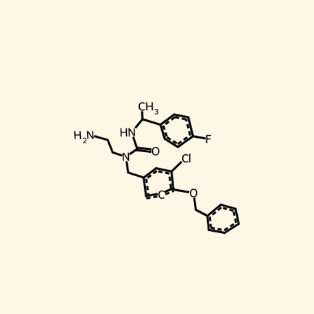 CC(NC(=O)N(CCN)Cc1ccc(OCc2ccccc2)c(Cl)c1)c1ccc(F)cc1